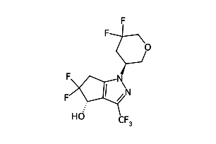 O[C@H]1c2c(C(F)(F)F)nn([C@@H]3COCC(F)(F)C3)c2CC1(F)F